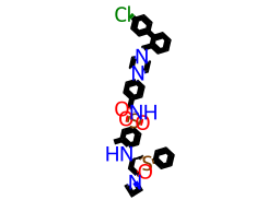 Cc1cc(S(=O)(=O)NC(=O)c2ccc(N3CCN(Cc4ccccc4-c4ccc(Cl)cc4)CC3)cc2)ccc1N[C@@H](CSc1ccccc1)CC(=O)N1CCC1